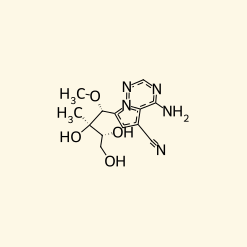 CO[C@H](c1cc(C#N)c2c(N)ncnn12)[C@](C)(O)[C@H](O)CO